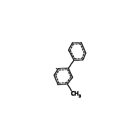 Cc1cc[c]c(-c2ccccc2)c1